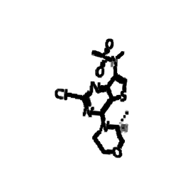 C[C@@H]1COCCN1c1nc(Cl)nc2c(N(C)S(C)(=O)=O)csc12